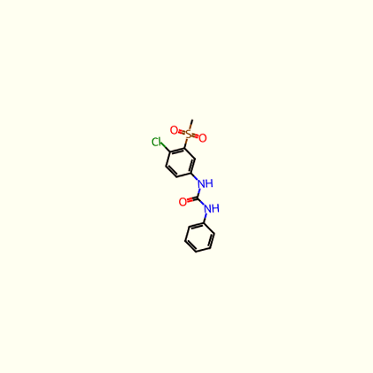 CS(=O)(=O)c1cc(NC(=O)Nc2ccccc2)ccc1Cl